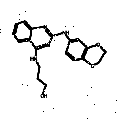 OCCCNc1nc(Nc2ccc3c(c2)OCCO3)nc2ccccc12